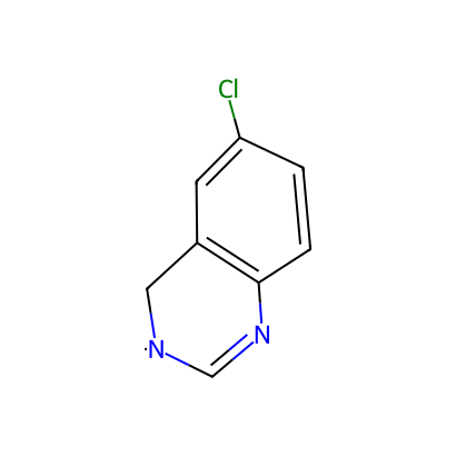 Clc1ccc2c(c1)C[N]C=N2